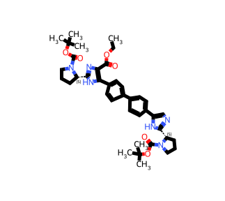 CCOC(=O)c1nc([C@@H]2CCCN2C(=O)OC(C)(C)C)[nH]c1-c1ccc(-c2ccc(-c3cnc([C@@H]4CCCN4C(=O)OC(C)(C)C)[nH]3)cc2)cc1